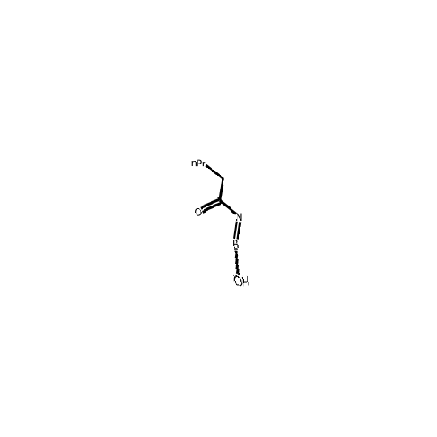 CCCCC(=O)/N=B/O